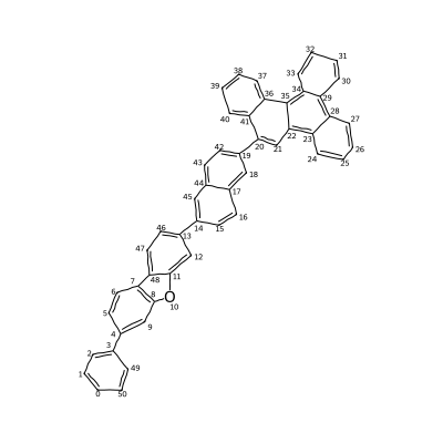 c1ccc(-c2ccc3c(c2)oc2cc(-c4ccc5cc(-c6cc7c8ccccc8c8ccccc8c7c7ccccc67)ccc5c4)ccc23)cc1